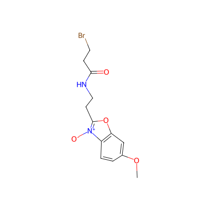 COc1ccc2c(c1)oc(CCNC(=O)CCBr)[n+]2[O-]